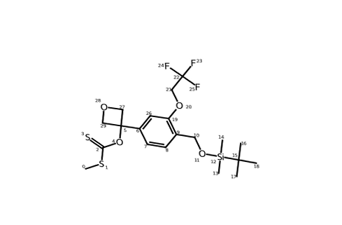 CSC(=S)OC1(c2ccc(CO[Si](C)(C)C(C)(C)C)c(OCC(F)(F)F)c2)COC1